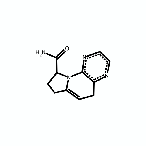 NC(=O)C1CCC2=CCc3nccnc3N21